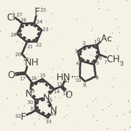 CC(=O)c1ccc2c(c1C)CC[C@@H]2NC(=O)c1cc(C(=O)NCc2ccc(F)c(Cl)c2)nc2c(F)cnn12